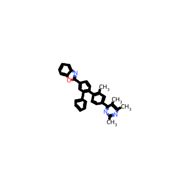 Cc1nc(C)c(C)c(-c2ccc(-c3ccc(-c4nc5ccccc5o4)cc3-c3ccccc3)c(C)c2)n1